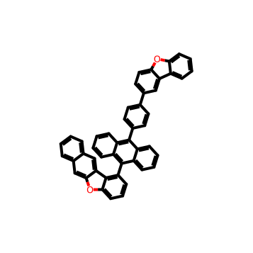 c1ccc2cc3c(cc2c1)oc1cccc(-c2c4ccccc4c(-c4ccc(-c5ccc6oc7ccccc7c6c5)cc4)c4ccccc24)c13